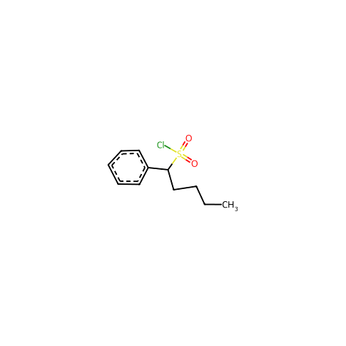 CCCCC(c1ccccc1)S(=O)(=O)Cl